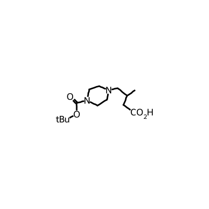 CC(CC(=O)O)CN1CCN(C(=O)OC(C)(C)C)CC1